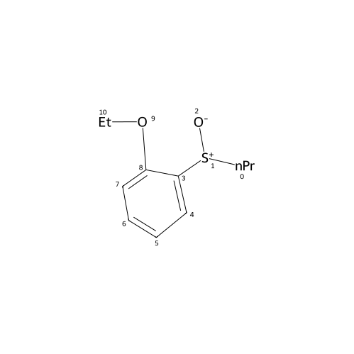 [CH2]CC[S+]([O-])c1ccccc1OCC